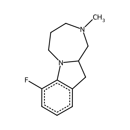 CN1CCCN2c3c(F)cccc3CC2C1